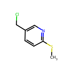 CSc1ccc(CCl)cn1